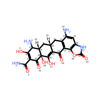 NC(=O)C1=C(O)C(N)[C@@H]2C[C@@H]3Cc4c(N)cc5[nH]c(=O)oc5c4C(=O)C3=C(O)[C@]2(O)C1=O